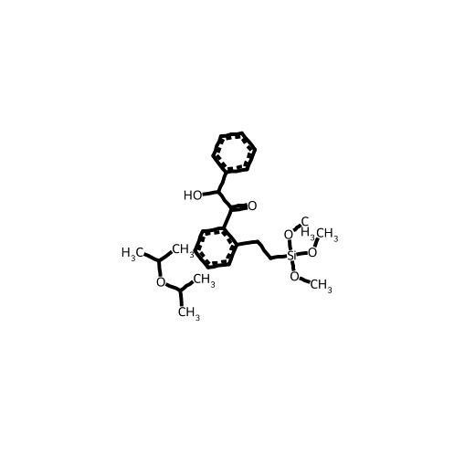 CC(C)OC(C)C.CO[Si](CCc1ccccc1C(=O)C(O)c1ccccc1)(OC)OC